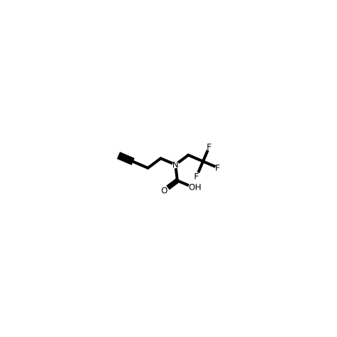 C#CCCN(CC(F)(F)F)C(=O)O